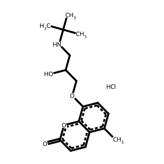 Cc1ccc(OCC(O)CNC(C)(C)C)c2oc(=O)ccc12.Cl